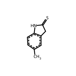 Cc1ccc2c(c1)CC(=S)N2